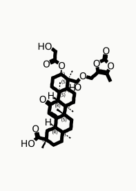 Cc1oc(=O)oc1COC(=O)[C@]1(C)[C@@H](OC(=O)CO)CC[C@@]2(C)[C@H]1CC[C@]1(C)[C@@H]2C(=O)C=C2[C@@H]3C[C@@](C)(C(=O)O)CC[C@]3(C)CC[C@]21C